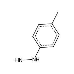 Cc1ccc(N[NH])cc1